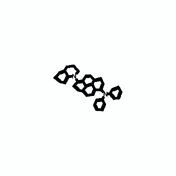 c1ccc(N(c2ccccc2)c2ccc3ccc4c(N5CCCc6ccccc65)ccc5ccc2c3c54)cc1